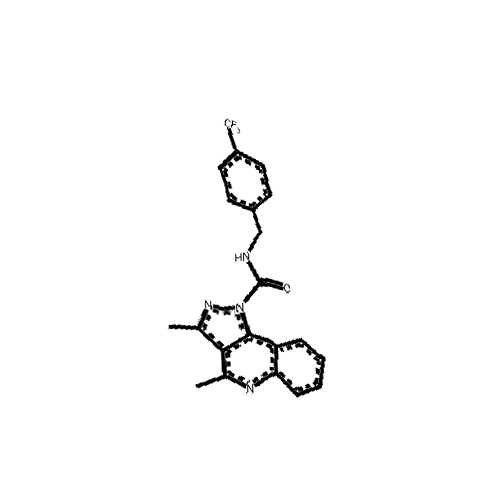 Cc1nc2ccccc2c2c1c(C)nn2C(=O)NCc1ccc(C(F)(F)F)cc1